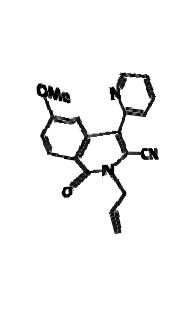 C=CCn1c(C#N)c(-c2ccccn2)c2cc(OC)ccc2c1=O